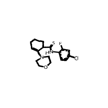 Fc1cc(Cl)ccc1NC(=S)C1CCCC=C1N1CCOCC1